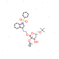 C[SiH](C)O[C@H]1[C@H](OCCc2cn(S(=O)(=O)c3ccccc3)c3ccccc23)O[C@H](COC(C)(C)C)C[C@@H]1O